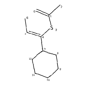 C=C(C)S/C(=C\C)C1CCCCC1